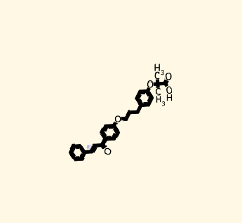 CC(C)(Oc1ccc(CCCOc2ccc(C(=O)/C=C/c3ccccc3)cc2)cc1)C(=O)O